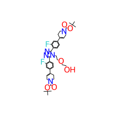 CC(C)(C)OC(=O)N1CC=C(c2ccc(-c3nnc(-c4ccc(C5=CCN(C(=O)OC(C)(C)C)CC5)cc4F)n3CCOCCO)c(F)c2)CC1